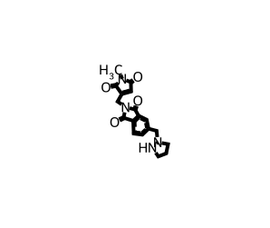 CN1C(=O)C=C(CN2C(=O)c3ccc(CN4CCCN4)cc3C2=O)C1=O